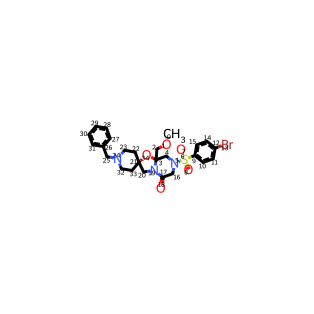 COCC12CN(S(=O)(=O)c3ccc(Br)cc3)CC(=O)N1CC1(CCN(Cc3ccccc3)CC1)O2